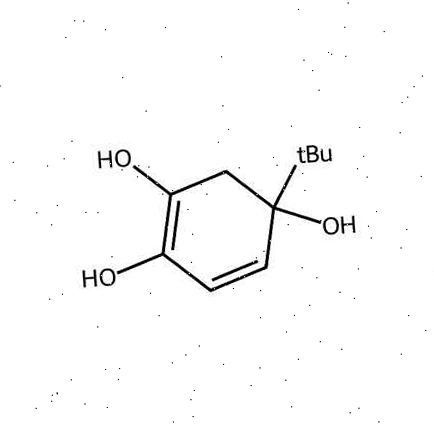 CC(C)(C)C1(O)C=CC(O)=C(O)C1